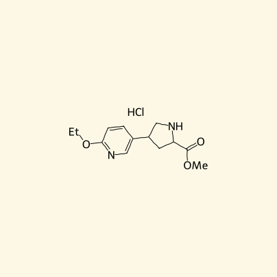 CCOc1ccc(C2CNC(C(=O)OC)C2)cn1.Cl